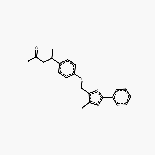 Cc1nc(-c2ccccc2)sc1COc1ccc(C(C)CC(=O)O)cc1